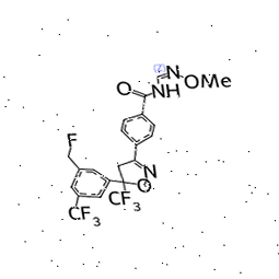 CO/N=C\NC(=O)c1ccc(C2=NOC(c3cc(CF)cc(C(F)(F)F)c3)(C(F)(F)F)C2)cc1